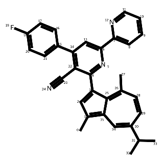 Cc1cc(-c2nc(-c3ccccn3)cc(-c3ccc(F)cc3)c2C#N)c2c(C)ccc(C(C)C)cc1-2